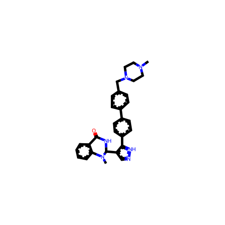 CN1CCN(Cc2ccc(-c3ccc(-c4[nH]ncc4C4NC(=O)c5ccccc5N4C)cc3)cc2)CC1